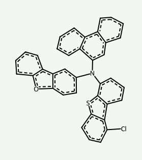 Clc1cccc2sc3c(N(c4ccc5oc6ccccc6c5c4)c4cc5ccccc5c5ccccc45)cccc3c12